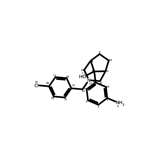 Nc1cccc(C2(O)C3CCC2CN(Cc2ccc(Cl)cc2)C3)c1